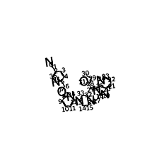 N#Cc1ccc(COc2cccc(N3CCN(Cc4nc5cccnc5n4C[C@@H]4CCO4)CC3)n2)nc1